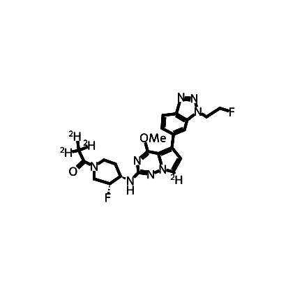 [2H]c1cc(-c2ccc3nnn(CCF)c3c2)c2c(OC)nc(N[C@H]3CCN(C(=O)C([2H])([2H])[2H])C[C@H]3F)nn12